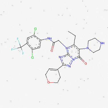 CCc1c(N2CCNCC2)c(=O)n2nc(C3=CCOCC3)nc2n1CC(=O)Nc1cc(Cl)c(C(F)(F)F)cc1Cl